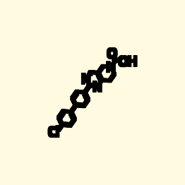 O=C(O)N1CCc2nc(-c3ccc(-c4ccc(Cl)cc4)cc3)ncc2C1